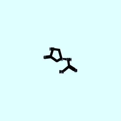 O=C(S)N[C@H]1CNC(=O)C1